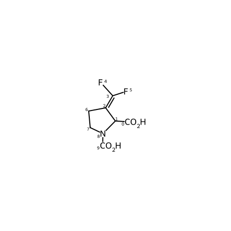 O=C(O)C1C(=C(F)F)CCN1C(=O)O